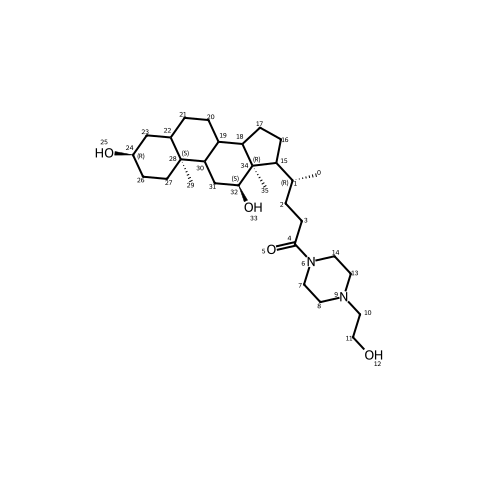 C[C@H](CCC(=O)N1CCN(CCO)CC1)C1CCC2C3CCC4C[C@H](O)CC[C@]4(C)C3C[C@H](O)[C@@]21C